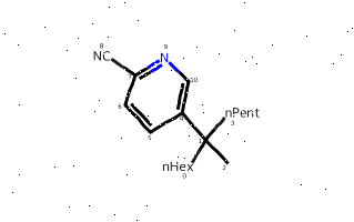 CCCCCCC(C)(CCCCC)c1ccc(C#N)nc1